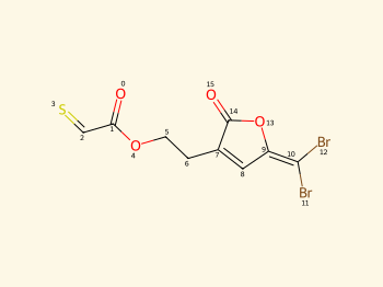 O=C(C=S)OCCC1=CC(=C(Br)Br)OC1=O